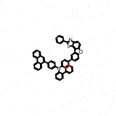 c1ccc(-c2nc3ccc4oc5ccc(-c6ccc(N(c7ccc(-c8cc9ccccc9c9ccccc89)cc7)c7ccccc7-c7ccccc7)cc6)cc5c4c3s2)cc1